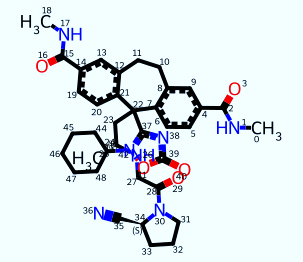 CNC(=O)c1ccc2c(c1)CCc1cc(C(=O)NC)ccc1C2(C[C@@H](C)NCC(=O)N1CCC[C@H]1C#N)c1nc(=O)on1C1CCCCC1